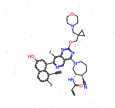 C#Cc1c(F)ccc2cc(O)cc(-c3ncc4c(N5CCC[C@@H](C#N)[C@H](NC(=O)C=C)C5)nc(OCC5(CN6CCOCC6)CC5)nc4c3F)c12